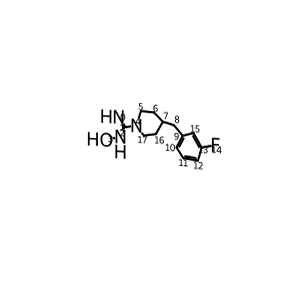 N=C(NO)N1CCC(Cc2cccc(F)c2)CC1